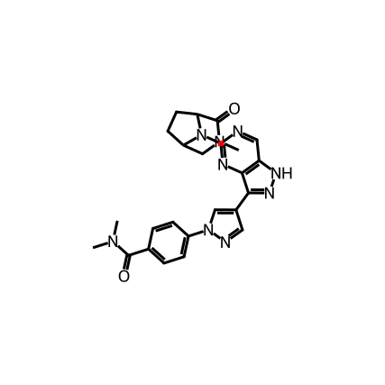 CN(C)C(=O)c1ccc(-n2cc(-c3n[nH]c4cnc(N5C6CCC5C(=O)N(C)C6)nc34)cn2)cc1